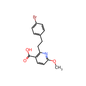 COc1ccc(C(=O)O)c(CCc2ccc(Br)cc2)n1